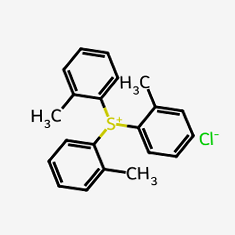 Cc1ccccc1[S+](c1ccccc1C)c1ccccc1C.[Cl-]